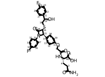 NC(=O)CC[C@H](NC(=O)COc1ccc([C@@H]2[C@@H](SCC(O)c3ccc(F)cc3)C(=O)N2c2ccc(F)cc2)cc1)C(=O)O